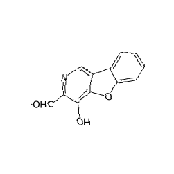 O=[C]c1ncc2c(oc3ccccc32)c1O